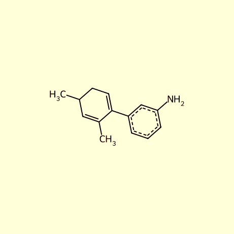 CC1=CC(C)CC=C1c1cccc(N)c1